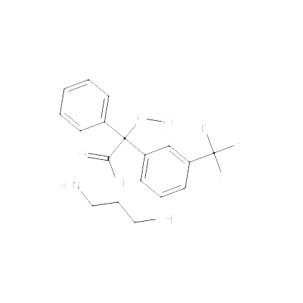 CCCCN.COC(C(=O)O)(c1ccccc1)c1cccc(C(F)(F)F)c1